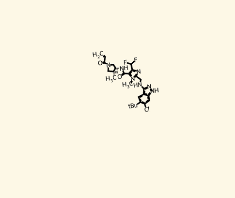 C=CC(=O)N1C[C@@H](C)[C@@H](NC(=O)c2c(C(F)F)nc(CNc3n[nH]c4cc(Cl)c(C(C)(C)C)cc34)n2C)C1